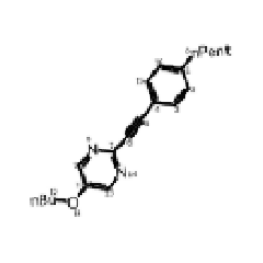 CCCCCc1ccc(C#Cc2ncc(OCCCC)cn2)cc1